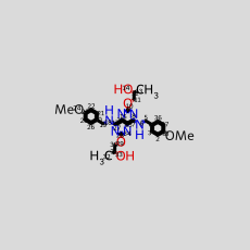 COc1ccc(CNc2nc(OCC(C)O)nc3c(NCc4ccc(OC)cc4)nc(OCC(C)O)nc23)cc1